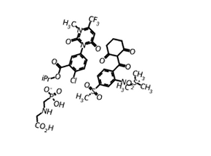 CC(C)OC(=O)c1cc(-n2c(=O)cc(C(F)(F)F)n(C)c2=O)ccc1Cl.CS(=O)(=O)c1ccc(C(=O)C2C(=O)CCCC2=O)c([N+](=O)[O-])c1.C[S+](C)C.O=C(O)CNCP(=O)([O-])O